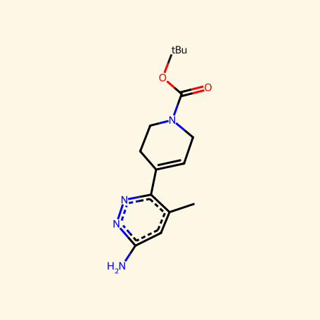 Cc1cc(N)nnc1C1=CCN(C(=O)OC(C)(C)C)CC1